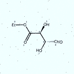 CCOC(=O)[C@@H](O)[C@@H](O)C=O